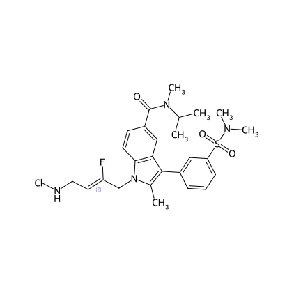 Cc1c(-c2cccc(S(=O)(=O)N(C)C)c2)c2cc(C(=O)N(C)C(C)C)ccc2n1C/C(F)=C/CNCl